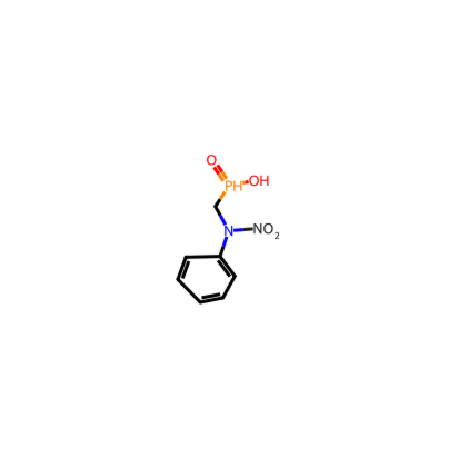 O=[N+]([O-])N(C[PH](=O)O)c1ccccc1